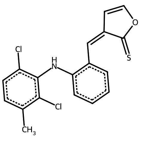 Cc1ccc(Cl)c(Nc2ccccc2C=C2C=COC2=S)c1Cl